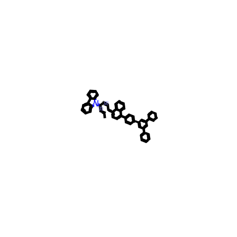 CC/C=C(\C=C/Cc1ccc(-c2ccc(-c3cc(-c4ccccc4)cc(-c4ccccc4)c3)cc2)c2ccccc12)n1c2ccccc2c2ccccc21